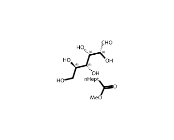 CCCCCCCC(=O)OC.O=C[C@H](O)[C@@H](O)[C@H](O)[C@H](O)CO